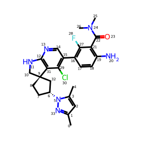 Cc1cc(C)n([C@@H]2CC[C@]3(CNc4ncc(-c5ccc(N)c(C(=O)N(C)C)c5F)c(Cl)c43)C2)n1